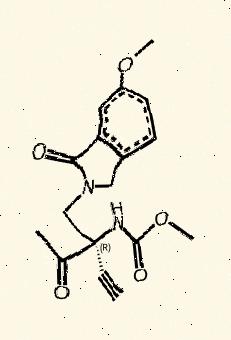 C#C[C@](CN1Cc2ccc(OC)cc2C1=O)(NC(=O)OC)C(C)=O